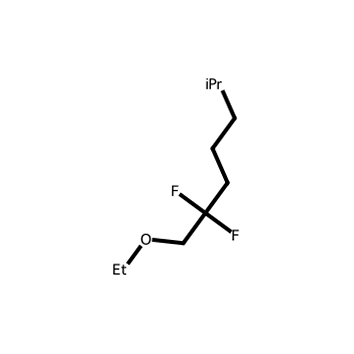 CCOCC(F)(F)CCCC(C)C